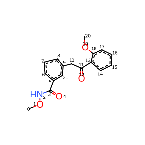 CONC(=O)c1cccc(CC(=O)c2ccccc2OC)c1